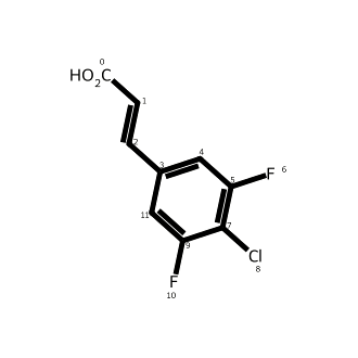 O=C(O)C=Cc1cc(F)c(Cl)c(F)c1